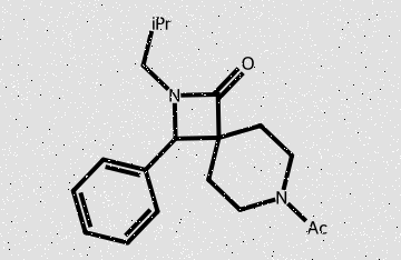 CC(=O)N1CCC2(CC1)C(=O)N(CC(C)C)C2c1ccccc1